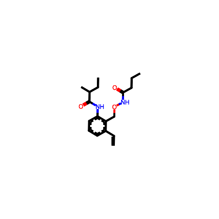 C=Cc1cccc(NC(=O)C(C)CC)c1CONC(=O)CCC